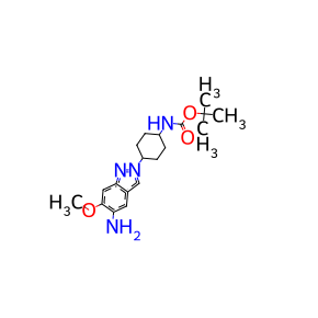 COc1cc2nn(C3CCC(NC(=O)OC(C)(C)C)CC3)cc2cc1N